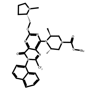 C[C@H]1CN(C(=O)OC(C)(C)C)C[C@H](C)N1c1nc(OC[C@@H]2CCCN2C)nc2c(=O)n(-c3cccc4ccccc34)c(C(F)(F)F)nc12